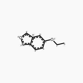 CCOc1ccc2nocc2c1